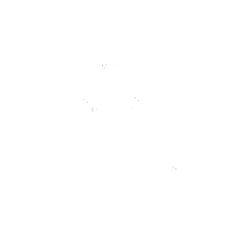 COc1ccc(NC(=O)c2ccc(-c3ccc(C#N)cc3)cc2)cc1OCCN(C(C)C)C(C)C